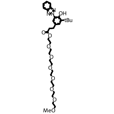 COCCOCCOCCOCCOCCOCCOCCOC(=O)CCc1cc(-n2nc3ccccc3n2)c(O)c(C(C)(C)C)c1